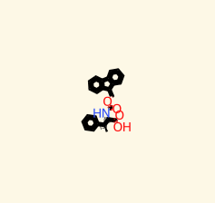 C[C@@H](c1ccccc1)[C@@H](NC(=O)OCC1c2ccccc2-c2ccccc21)C(=O)O